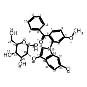 COc1ccc(C(=O)c2ccccc2)c(-n2cc(O[C@@H]3[C@@H](O)[C@@H](O)[C@@H](CO)O[C@H]3O)c3ccc(Cl)cc32)c1